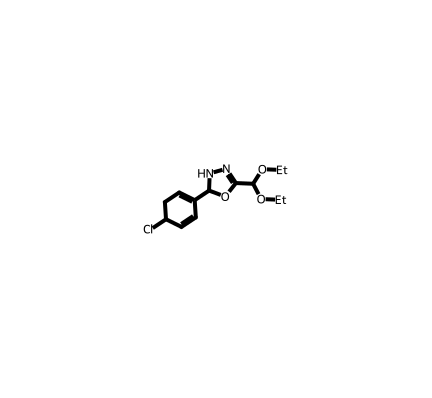 CCOC(OCC)C1=NNC(C2=CCC(Cl)C=C2)O1